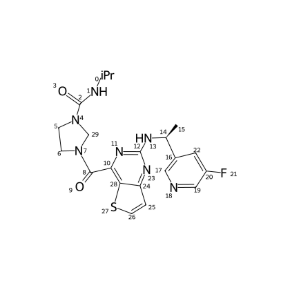 CC(C)NC(=O)N1CCN(C(=O)c2nc(N[C@@H](C)c3cncc(F)c3)nc3ccsc23)C1